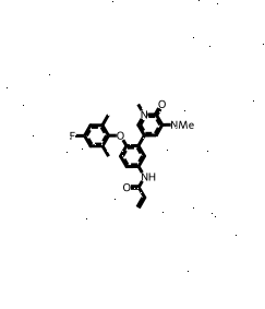 C=CC(=O)Nc1ccc(Oc2c(C)cc(F)cc2C)c(-c2cc(NC)c(=O)n(C)c2)c1